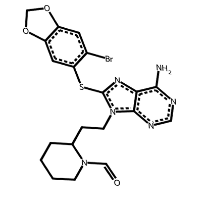 Nc1ncnc2c1nc(Sc1cc3c(cc1Br)OCO3)n2CCC1CCCCN1C=O